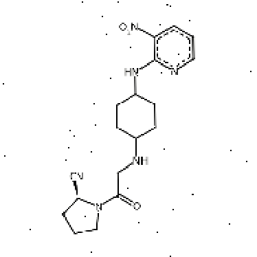 N#C[C@@H]1CCCN1C(=O)CNC1CCC(Nc2ncccc2[N+](=O)[O-])CC1